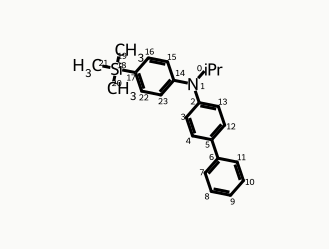 CC(C)N(c1ccc(-c2ccccc2)cc1)c1ccc([Si](C)(C)C)cc1